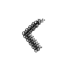 [Al+3].[K+].[O-][Cl+3]([O-])([O-])[O-].[O-][Cl+3]([O-])([O-])[O-].[O-][Cl+3]([O-])([O-])[O-].[O-][Cl+3]([O-])([O-])[O-].[O-][Cl+3]([O-])([O-])[O-].[O-][Cl+3]([O-])([O-])[O-].[O-][Cl+3]([O-])([O-])[O-].[O-][Cl+3]([O-])([O-])[O-].[Ti+4]